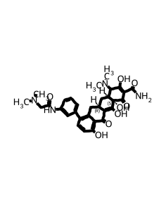 CN(C)CC(=O)Nc1cccc(-c2ccc(O)c3c2C[C@H]2C[C@H]4C(N(C)C)C(O)=C(C(N)=O)C(=O)[C@@]4(O)C(O)=C2C3=O)c1